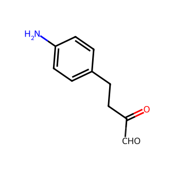 Nc1ccc(CCC(=O)C=O)cc1